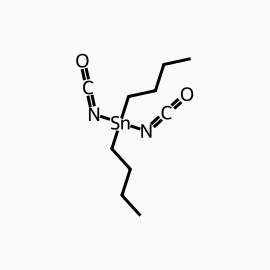 CCC[CH2][Sn]([CH2]CCC)([N]=C=O)[N]=C=O